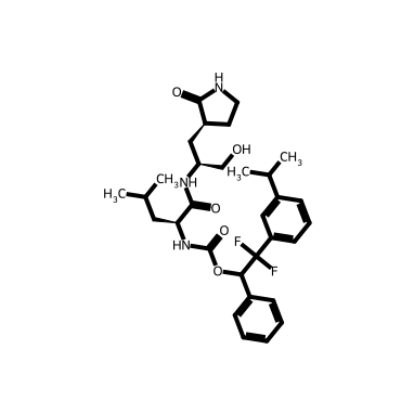 CC(C)C[C@H](NC(=O)OC(c1ccccc1)C(F)(F)c1cccc(C(C)C)c1)C(=O)N[C@H](CO)C[C@@H]1CCNC1=O